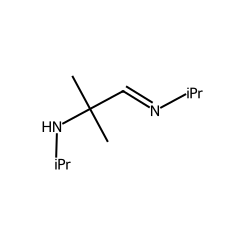 CC(C)/N=C/C(C)(C)NC(C)C